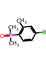 Cc1cc(Br)ccc1P(C)(C)=O